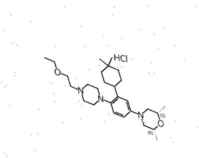 CCOCCN1CCN(c2ccc(N3C[C@@H](C)O[C@@H](C)C3)cc2C2CCC(C)(C)CC2)CC1.Cl